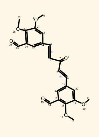 COc1cc(/C=C/C(=O)/C=C/c2cc(C=O)c(OC)c(OC)c2)cc(C=O)c1OC